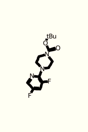 CC(C)(C)OC(=O)N1CCN(c2ncc(F)cc2F)CC1